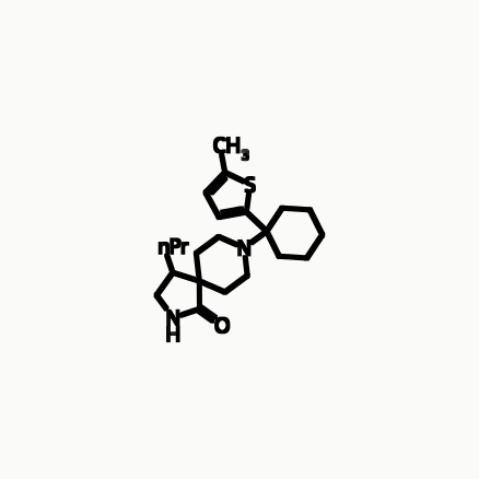 CCCC1CNC(=O)C12CCN(C1(c3ccc(C)s3)CCCCC1)CC2